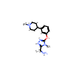 CCn1c(Oc2cccc(C3CCN(C(C)C)CC3)c2)nnc1[C@@H](C)N